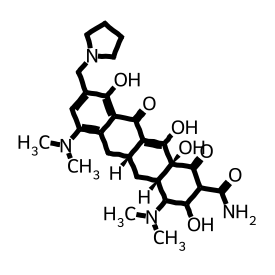 CN(C)c1cc(CN2CCCC2)c(O)c2c1C[C@H]1C[C@H]3C(N(C)C)C(O)C(C(N)=O)C(=O)[C@@]3(O)C(O)=C1C2=O